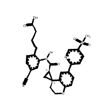 CS(=O)(=O)c1ccc(-c2ccc3c(c2)[C@]2(CCO3)C[C@H]2C(=O)N(O)c2cc(C#N)ccc2CCCC(=O)O)nc1